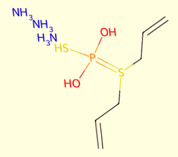 C=CCS(CC=C)=P(O)(O)S.N.N.N